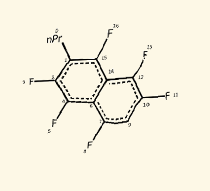 [CH2]CCc1c(F)c(F)c2c(F)cc(F)c(F)c2c1F